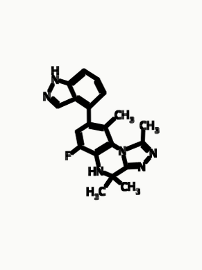 Cc1c(-c2cccc3[nH]ncc23)cc(F)c2c1-n1c(C)nnc1C(C)(C)N2